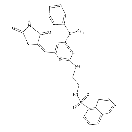 CN(c1ccccc1)c1cc(/C=C2/SC(=O)NC2=O)nc(NCCNS(=O)(=O)c2cccc3cnccc23)n1